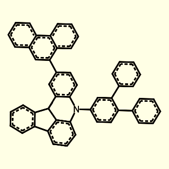 CC12c3ccccc3-c3cccc(c31)N(c1ccc(-c3ccccc3)c(-c3ccccc3)c1)c1ccc(-c3cc4ccccc4c4ccccc34)cc12